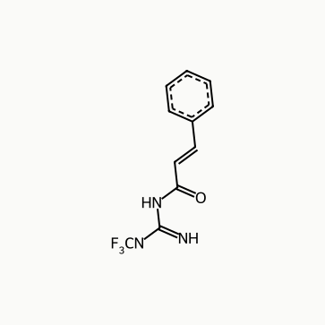 N=C(NC(=O)C=Cc1ccccc1)NC(F)(F)F